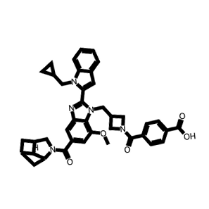 COc1cc(C(=O)N2CC3CC4CC2[C@H]43)cc2nc(-c3cc4ccccc4n3CC3CC3)n(CC3CN(C(=O)c4ccc(C(=O)O)cc4)C3)c12